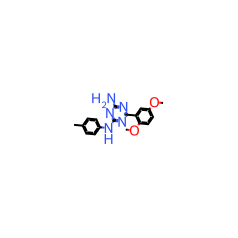 COc1ccc(OC)c(-c2nc(N)nc(Nc3ccc(C)cc3)n2)c1